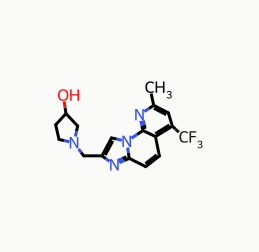 Cc1cc(C(F)(F)F)c2ccc3nc(CN4CCC(O)C4)cn3c2n1